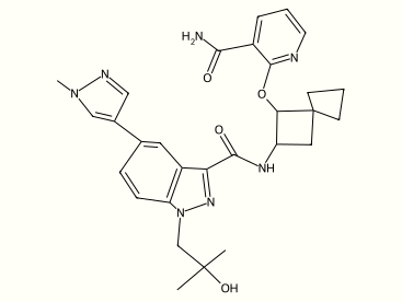 Cn1cc(-c2ccc3c(c2)c(C(=O)NC2CC4(CCC4)C2Oc2ncccc2C(N)=O)nn3CC(C)(C)O)cn1